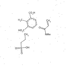 C=CC(=O)NC.CCCS(=O)(=O)O.Cc1c(C(=O)O)cccc1C(=O)O